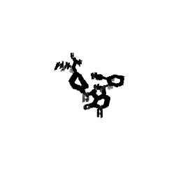 N#C[C@H]1CCCC[C@@H]1n1nc(Nc2ccc([C@H](N)C(F)F)cc2)c2c(=O)[nH]ccc21